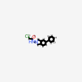 O=C(CCl)NN1Cc2ccc(-c3ccccc3)cc2C1